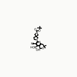 CC(C)(C)OC(=O)N1CC2(CCN(c3nc4c(c(B(O)O)c3C#N)COC(C)(C)C4)C2)C1